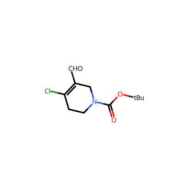 CC(C)(C)OC(=O)N1CCC(Cl)=C(C=O)C1